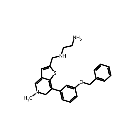 CN1C=c2cc(CNCCN)sc2=C(c2cccc(OCc3ccccc3)c2)C1